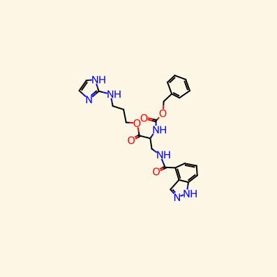 O=C(NC(CNC(=O)c1cccc2[nH]ncc12)C(=O)OCCCNc1ncc[nH]1)OCc1ccccc1